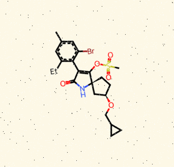 CCc1cc(C)cc(Br)c1C1=C(OS(C)(=O)=O)[C@@]2(CC[C@@H](OCC3CC3)C2)NC1=O